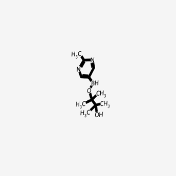 Cc1ncc(BOC(C)(C)C(C)(C)O)cn1